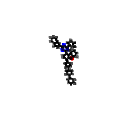 c1ccc(-c2ccc(-c3ccc(-c4ccc(-c5nc(-c6ccccc6)nc(-c6ccc7ccccc7c6)n5)c5c4oc4ccccc45)cc3)cc2)cc1